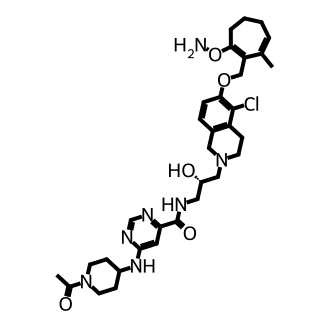 CC(=O)N1CCC(Nc2cc(C(=O)NC[C@H](O)CN3CCc4c(ccc(OCC5=C(ON)CCCC=C5C)c4Cl)C3)ncn2)CC1